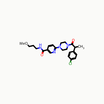 COCCCNC(=O)c1ccc(N2CCN(C(=O)C(C)c3ccc(Cl)cc3)CC2)nc1